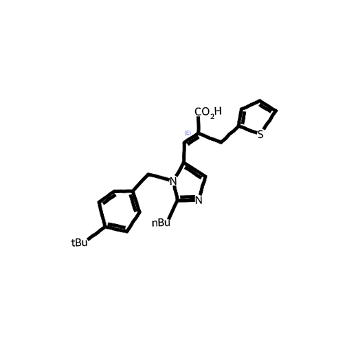 CCCCc1ncc(/C=C(\Cc2cccs2)C(=O)O)n1Cc1ccc(C(C)(C)C)cc1